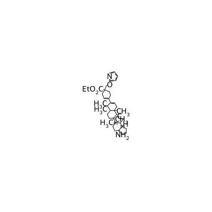 CCOC(=O)C1(COc2ccccn2)CC=C(C2=CCC3(C)C(CCC4(C)C3CCC3[C@H]5CCCC5(N)CC[C@]34C)C2(C)C)CC1